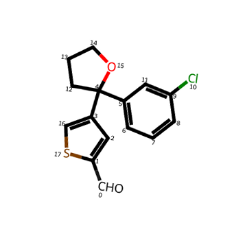 O=Cc1cc(C2(c3cccc(Cl)c3)CCCO2)cs1